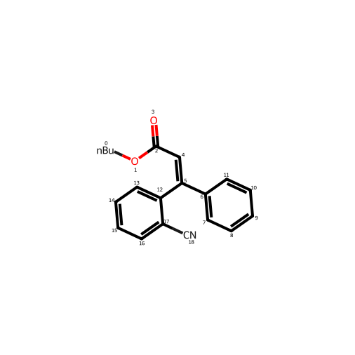 CCCCOC(=O)C=C(c1ccccc1)c1ccccc1C#N